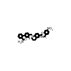 C[C@H](NC(=O)c1ccc2c(c1)CCCN2Cc1ccc(-c2ccccc2C(N)=O)cc1F)c1ccc([N+](=O)[O-])cc1